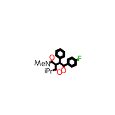 CNC(=O)C(C(=O)C(C)C)C(C(=O)c1ccc(F)cc1)c1ccccc1